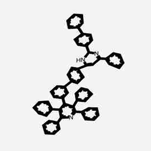 C1=C(c2ccc(-c3cccc(-c4c(-c5ccccc5)c(-c5ccccc5)nc(-c5ccccc5)c4-c4ccccc4)c3)cc2)NC(c2ccc(-c3ccccc3)cc2)N=C1c1ccccc1